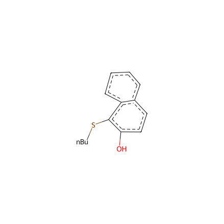 CCCCSc1c(O)ccc2ccccc12